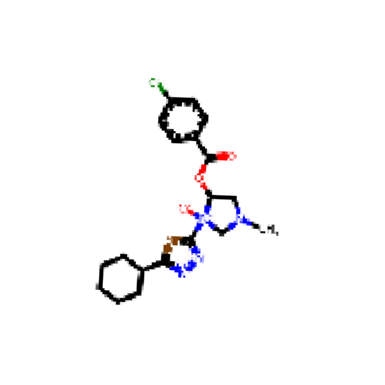 CN1CC(OC(=O)c2ccc(Cl)cc2)[N+]([O-])(c2nnc(C3CCCCC3)s2)C1